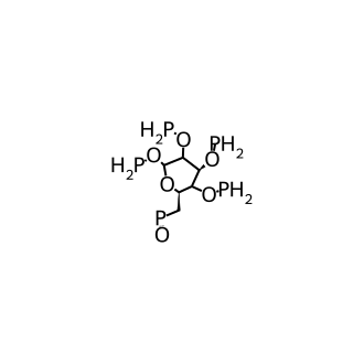 O=PC[C@H]1OC(OP)C(OP)[C@@H](OP)C1OP